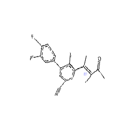 CC(=O)/C(C)=C(\C)c1cc(C#N)cc(-c2ccc(F)c(F)c2)c1C